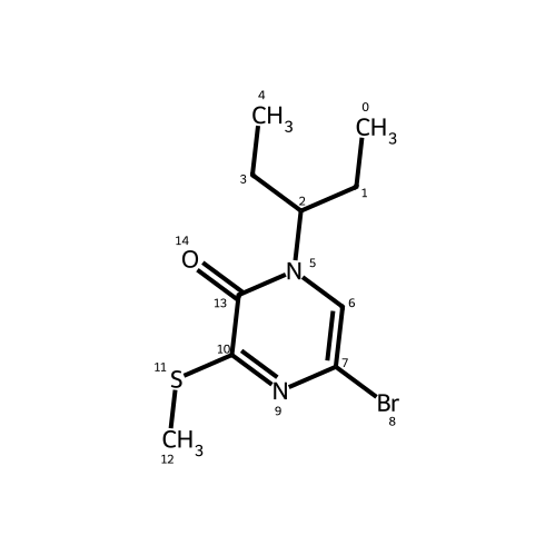 CCC(CC)n1cc(Br)nc(SC)c1=O